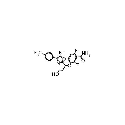 NC(=O)c1c(F)ccc(OC(CCO)c2nc(-c3ccc(C(F)(F)F)cc3)c(Br)o2)c1F